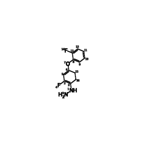 NNC1=C(F)C=C(Oc2ccccc2F)CC1